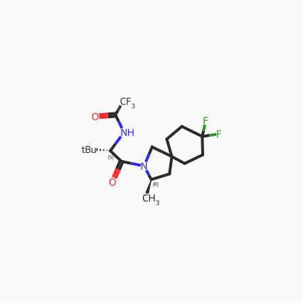 C[C@@H]1CC2(CCC(F)(F)CC2)CN1C(=O)[C@@H](NC(=O)C(F)(F)F)C(C)(C)C